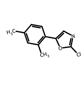 Cc1ccc(-c2cnc(Cl)o2)c(C)c1